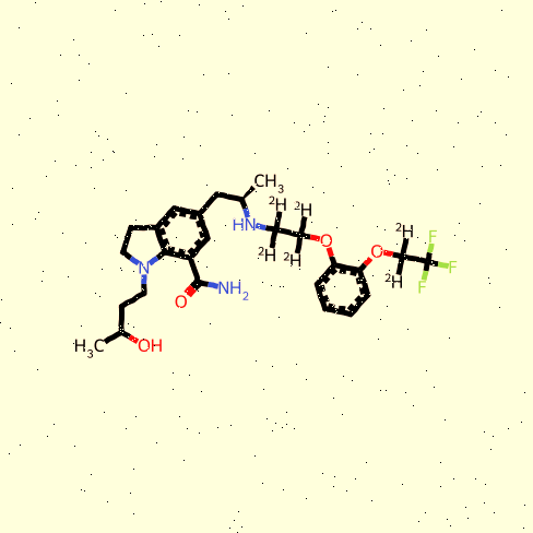 [2H]C([2H])(N[C@H](C)Cc1cc2c(c(C(N)=O)c1)N(CCC(C)O)CC2)C([2H])([2H])Oc1ccccc1OC([2H])([2H])C(F)(F)F